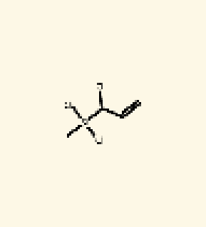 C=CC(Cl)[Si](C)(Cl)Cl